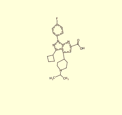 CC(C)N1CCC(c2cc(C(=O)O)nc3c2c(C2CCC2)nn3-c2ccc(F)cc2)CC1